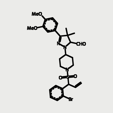 C=CC(c1ccccc1Br)S(=O)(=O)N1CCC(N2N=C(c3ccc(OC)c(OC)c3)C(C)(C)C2C=O)CC1